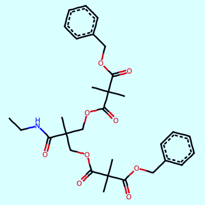 CCNC(=O)C(C)(COC(=O)C(C)(C)C(=O)OCc1ccccc1)COC(=O)C(C)(C)C(=O)OCc1ccccc1